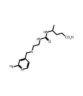 CC(CCC(=O)O)NC(=O)NCCSCc1ccnc([18F])c1